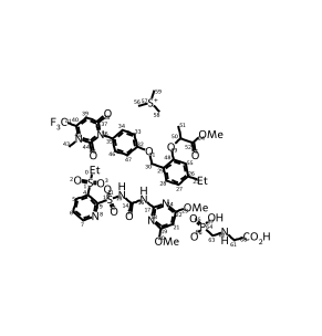 CCS(=O)(=O)c1cccnc1S(=O)(=O)NC(=O)Nc1nc(OC)cc(OC)n1.CCc1ccc(COc2ccc(-n3c(=O)cc(C(F)(F)F)n(C)c3=O)cc2)c(OC(C)C(=O)OC)c1.C[S+](C)C.O=C(O)CNCP(=O)([O-])O